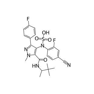 CC(NC(=O)c1c(N(c2ccc(C#N)cc2F)S(=O)(=O)O)c(-c2ccc(F)cc2)nn1C)C(C)(C)C